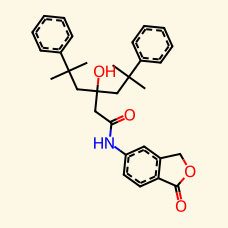 CC(C)(CC(O)(CC(=O)Nc1ccc2c(c1)COC2=O)CC(C)(C)c1ccccc1)c1ccccc1